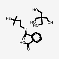 CC(C)(S)CCOC(=O)c1ccccc1C(=O)O.OCC(CO)(CO)CO